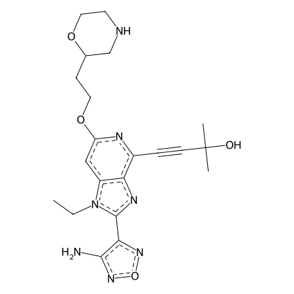 CCn1c(-c2nonc2N)nc2c(C#CC(C)(C)O)nc(OCCC3CNCCO3)cc21